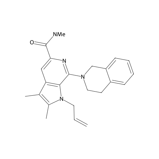 C=CCn1c(C)c(C)c2cc(C(=O)NC)nc(N3CCc4ccccc4C3)c21